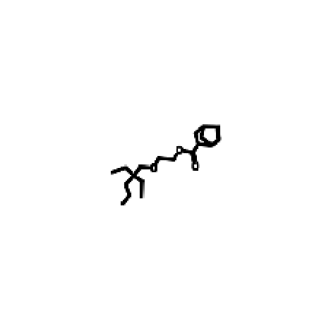 CCCC(CC)(CC)COCCOC(=O)C1CC2C=CC1C2